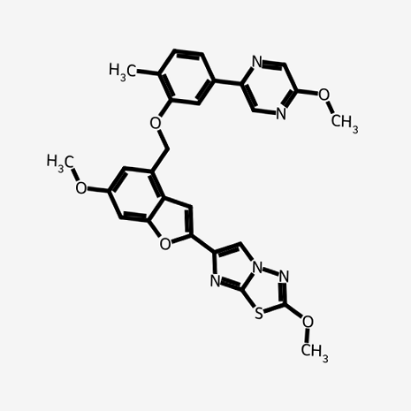 COc1cc(COc2cc(-c3cnc(OC)cn3)ccc2C)c2cc(-c3cn4nc(OC)sc4n3)oc2c1